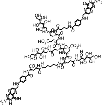 N=c1[nH]c(N)nc2ncc(CNc3ccc(C(=O)N[C@@H](CCC(=O)NCCCCCNC(=O)[C@H](CCC(=O)NC[C@H](O)[C@@H](O)[C@H](O)[C@H](O)CO)NC(=O)[C@H](CCC(=O)O)NC(=O)[C@H](CCC(=O)NC[C@H](O)[C@@H](O)[C@H](O)[C@H](O)CO)NC(=O)[C@H](CCC(=O)O)NC(=O)[C@H](CCC(=O)NC[C@H](O)[C@@H](O)[C@H](O)[C@H](O)CO)NC(=O)CCCNC(=O)c4ccc(NCc5cnc6nc(N)[nH]c(=O)c6n5)cc4)C(=O)O)cc3)nc12